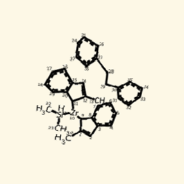 CC1=Cc2ccccc2[CH]1[Zr]([CH]1C(C)=Cc2ccccc21)[SiH](C)C.c1ccc(CCc2ccccc2)cc1